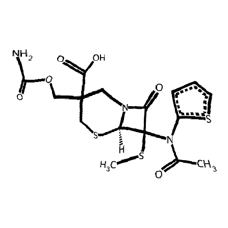 CSC1(N(C(C)=O)c2cccs2)C(=O)N2CC(COC(N)=O)(C(=O)O)CS[C@@H]21